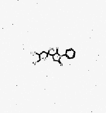 CCC(C)CC(C)(C)C1CC(=O)N(c2ccccc2)C1=O